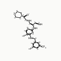 N=C/C(=C\NCC(=O)N1CCOCC1)Nc1ncc(F)c(NCc2cc(F)cc(C(F)(F)F)c2)n1